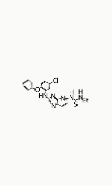 CCNC(=S)Nc1ccc2ncc(Nc3cc(Cl)ccc3Oc3ccccc3)nc2n1